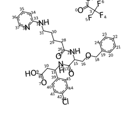 O=C(O)C(F)(F)F.O=C(O)CC(NC(=O)C(COCc1ccccc1)NC(=O)CCCCNc1ccccn1)c1ccc(Cl)cc1